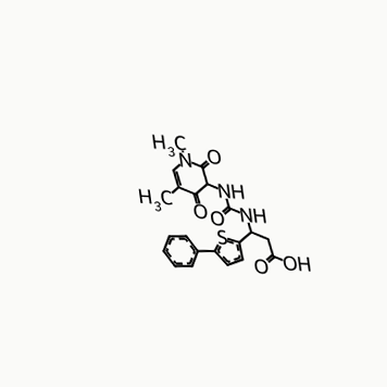 CC1=CN(C)C(=O)C(NC(=O)NC(CC(=O)O)c2ccc(-c3ccccc3)s2)C1=O